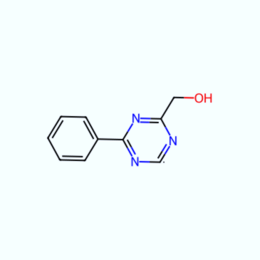 OCc1n[c]nc(-c2ccccc2)n1